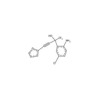 Nc1ccc(Cl)cc1C(O)(C#Cc1ccco1)C(F)(F)F